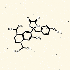 COc1ccc(CC2(c3cc4c(cc3C)N(C(C)C)CCN4C(C)C)NC(=O)C(=O)S2)cc1